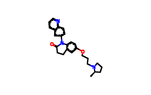 C[C@@H]1CCCN1CCCOc1ccc2c(c1)CCC(=O)N2c1ccc2ncccc2c1